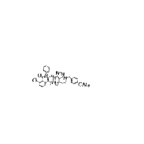 COc1ccc(CN2CCC(=O)c3c(N[C@@H](C)c4c(F)c5cccc(Cl)c5c(=O)n4-c4ccccc4)ncnc32)cc1